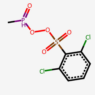 C[PH](=O)OOS(=O)(=O)c1c(Cl)cccc1Cl